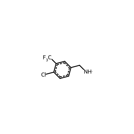 [NH]Cc1ccc(Cl)c(C(F)(F)F)c1